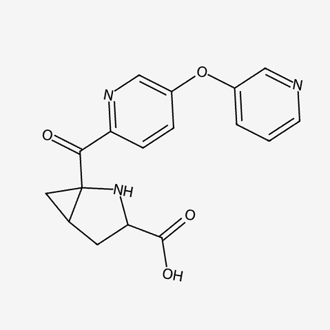 O=C(O)C1CC2CC2(C(=O)c2ccc(Oc3cccnc3)cn2)N1